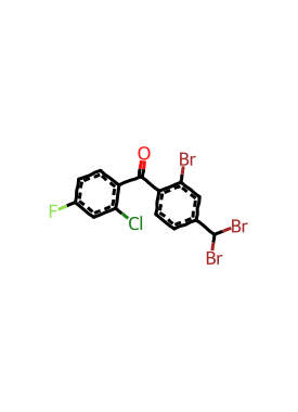 O=C(c1ccc(F)cc1Cl)c1ccc(C(Br)Br)cc1Br